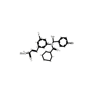 [2H]C(c1ccc(Br)cc1)N(C(=O)C1CCCCC1)c1cc(F)cc(/C=C/C(=O)OC)c1